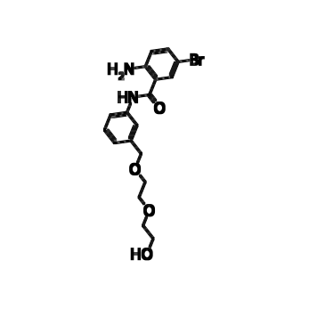 Nc1ccc(Br)cc1C(=O)Nc1cccc(COCCOCCO)c1